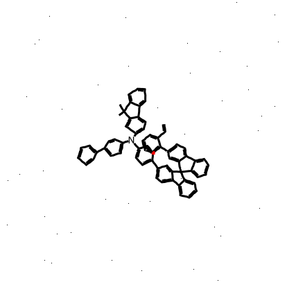 C=Cc1ccccc1-c1ccc2c(c1)C1(c3ccccc3-c3ccc(-c4ccc(N(c5ccc(-c6ccccc6)cc5)c5ccc6c(c5)C(C)(C)c5ccccc5-6)cc4)cc31)c1ccccc1-2